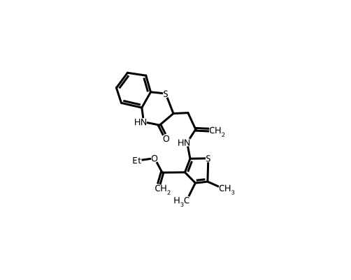 C=C(CC1Sc2ccccc2NC1=O)Nc1sc(C)c(C)c1C(=C)OCC